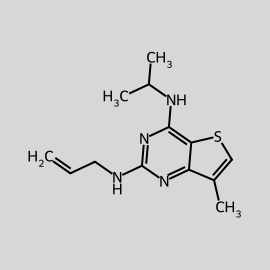 C=CCNc1nc(NC(C)C)c2scc(C)c2n1